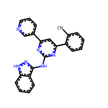 [C-]#[N+]c1ccccc1-c1cc(-c2cccnc2)nc(Nc2n[nH]c3ccccc23)n1